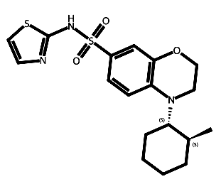 C[C@H]1CCCC[C@@H]1N1CCOc2cc(S(=O)(=O)Nc3nccs3)ccc21